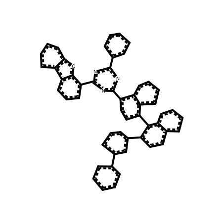 c1ccc(-c2cccc(-c3ccc4ccccc4c3-c3ccc(-c4nc(-c5ccccc5)nc(-c5cccc6c5oc5ccccc56)n4)c4ccccc34)c2)cc1